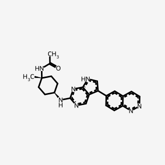 CC(=O)N[C@]1(C)CC[C@@H](Nc2ncc3c(-c4ccc5nnccc5c4)c[nH]c3n2)CC1